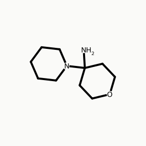 NC1(N2CCCCC2)CCOCC1